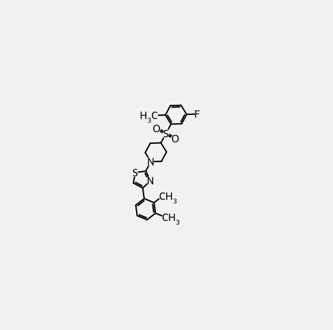 Cc1ccc(F)cc1S(=O)(=O)C1CCN(c2nc(-c3cccc(C)c3C)cs2)CC1